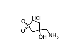 Cl.NCC1(O)CCS(=O)(=O)C1